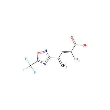 C=C(/C=C(\C)C(=O)O)c1noc(C(F)(F)F)n1